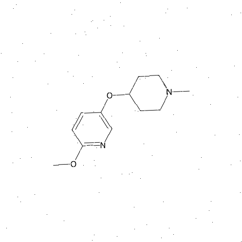 COc1ccc(OC2CCN(C)CC2)cn1